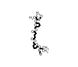 CC(C)C(N=C=O)OC1CCCC(COC(=O)CCCC(=O)OCC2CCCC(OC(N=C=O)C(C)C)O2)O1